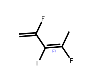 C=C(F)/C(F)=C(\C)F